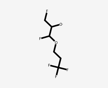 [O]C(CF)C(F)OCCC(F)(F)F